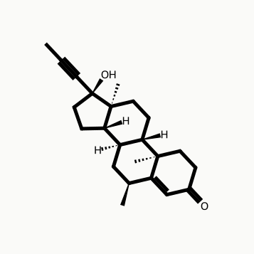 CC#C[C@@]1(O)CC[C@H]2[C@@H]3C[C@H](C)C4=CC(=O)CC[C@]4(C)[C@H]3CC[C@@]21C